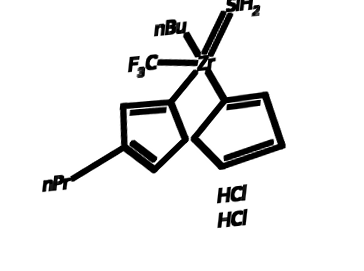 CCC[CH2][Zr](=[SiH2])([C]1=CC=CC1)([C]1=CC(CCC)=CC1)[C](F)(F)F.Cl.Cl